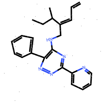 C=C/C=C(/CNc1nc(-c2ccccn2)nnc1-c1ccccc1)C(C)CC